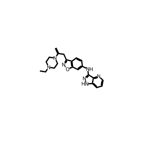 C=C(Cc1noc2cc(Nc3n[nH]c4cccnc34)ccc12)N1CCN(CC)CC1